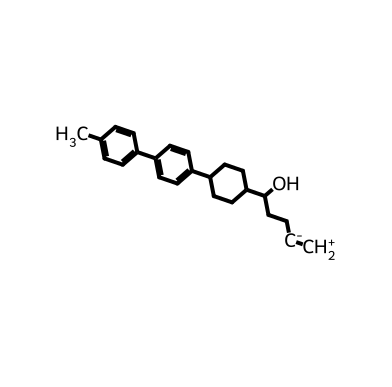 [CH2+][CH-]CCC(O)C1CCC(c2ccc(-c3ccc(C)cc3)cc2)CC1